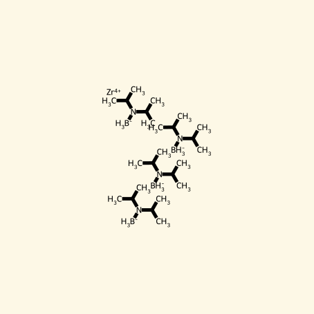 [BH3-]N(C(C)C)C(C)C.[BH3-]N(C(C)C)C(C)C.[BH3-]N(C(C)C)C(C)C.[BH3-]N(C(C)C)C(C)C.[Zr+4]